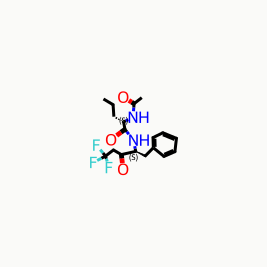 CCC[C@H](NC(C)=O)C(=O)N[C@@H](Cc1ccccc1)C(=O)CC(F)(F)F